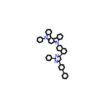 c1ccc(-c2ccc(-c3cc(-c4cccc5cc(-n6c7ccccc7c7c8c9ccccc9n(-c9ccccc9)c8ccc76)ccc45)nc(-c4ccccc4)n3)cc2)cc1